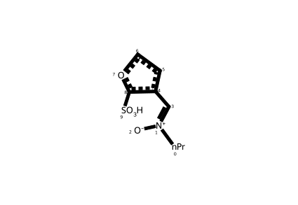 CCC[N+]([O-])=Cc1ccoc1S(=O)(=O)O